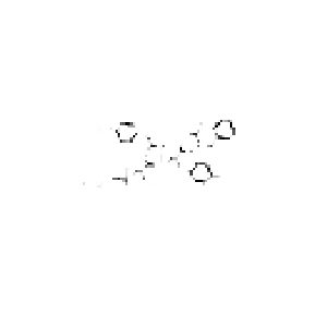 CCC(C)C(NC(=O)CNC(C)=O)C(=O)NC(Cc1ccc(O)cc1)C(=O)NC(Cc1ccc(O)cc1)C(=O)NC(Cc1ccccc1)C(N)=O